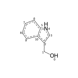 OCc1c[nH]c2cc[c]cc12